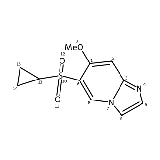 COc1cc2nccn2cc1S(=O)(=O)C1CC1